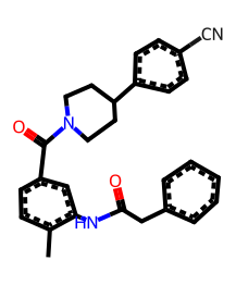 Cc1ccc(C(=O)N2CCC(c3ccc(C#N)cc3)CC2)cc1NC(=O)Cc1ccccc1